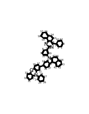 c1ccc(-c2nc(-c3cccc(-n4c5cc(-c6ccc7c(c6)N(c6ccccc6)c6ccccc6O7)ccc5c5c6ccccc6ccc54)c3)nc3c2ccc2ccccc23)cc1